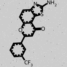 Nc1nc2ccc3oc(-c4cccc(C(F)(F)F)c4)cc(=O)c3c2s1